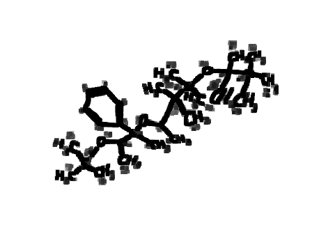 CC(O[Si](C)(c1ccccc1)C(C)O[Si](C)(C)C)C(C)(C)[Si](C)(C)OC(C)(C)[Si](C)(C)C